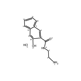 Cl.NCCNC(=O)c1cc2ccccc2cc1O